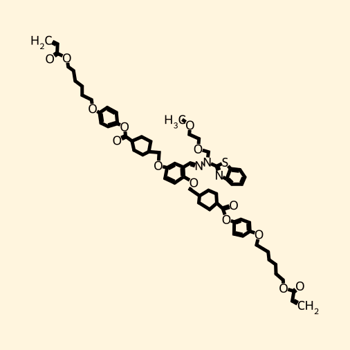 C=CC(=O)OCCCCCCOc1ccc(OC(=O)C2CCC(COc3ccc(OCC4CCC(C(=O)Oc5ccc(OCCCCCCOC(=O)C=C)cc5)CC4)c(/C=N/N(COCCOC)c4nc5ccccc5s4)c3)CC2)cc1